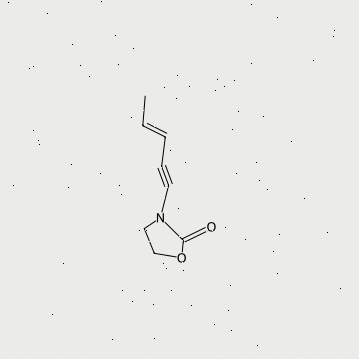 CC=CC#CN1CCOC1=O